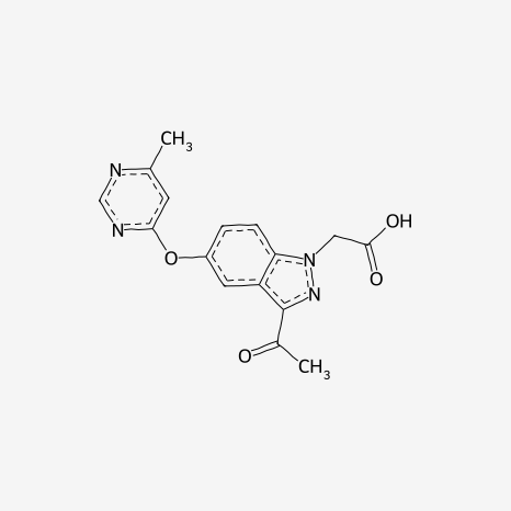 CC(=O)c1nn(CC(=O)O)c2ccc(Oc3cc(C)ncn3)cc12